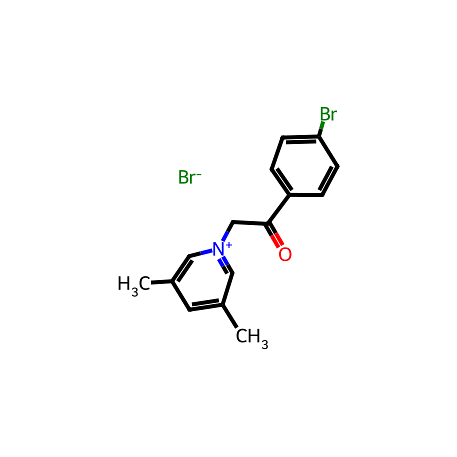 Cc1cc(C)c[n+](CC(=O)c2ccc(Br)cc2)c1.[Br-]